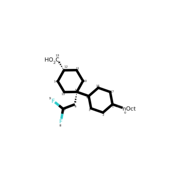 CCCCCCCCC1CCC([C@]2(CC(F)F)CC[C@@H](C(=O)O)CC2)CC1